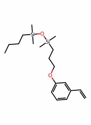 C=Cc1cccc(OCCC[Si](C)(C)O[Si](C)(C)CCCC)c1